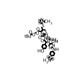 Cn1nnnc1SCC1=C(C(=O)OCOC(=O)C(C)(C)C)N2C(=O)C(NC(=O)C(c3ccc(O)cc3)N(C(N)=O)c3cnc(Nc4ccc(S(N)(=O)=O)cc4)nc3O)[C@@H]2SC1